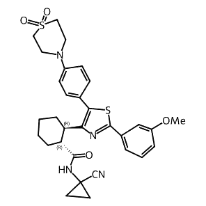 COc1cccc(-c2nc([C@@H]3CCCC[C@H]3C(=O)NC3(C#N)CC3)c(-c3ccc(N4CCS(=O)(=O)CC4)cc3)s2)c1